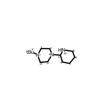 CC(C)(C)N1CCN(C2CCCCN2)CC1